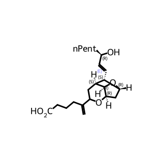 C=C(CCCC(=O)O)C1C[C@H]2[C@H](/C=C/[C@H](O)CCCCC)[C@H]3C[C@@H](O1)[C@@H]2O3